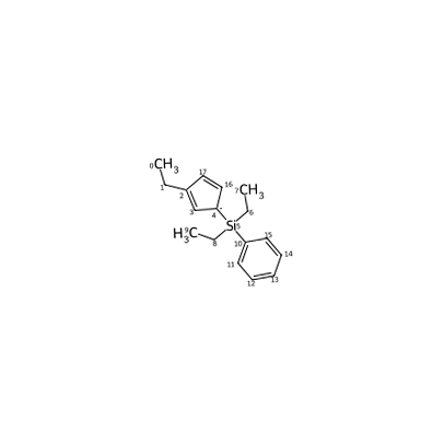 CCC1=C[C]([Si](CC)(CC)c2ccccc2)C=C1